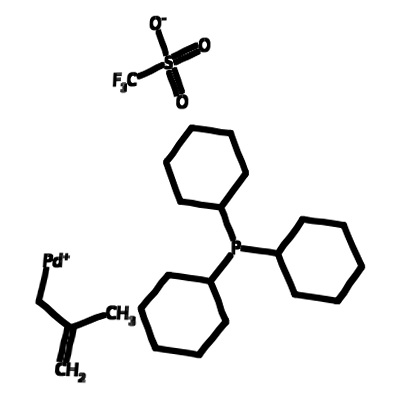 C1CCC(P(C2CCCCC2)C2CCCCC2)CC1.C=C(C)[CH2][Pd+].O=S(=O)([O-])C(F)(F)F